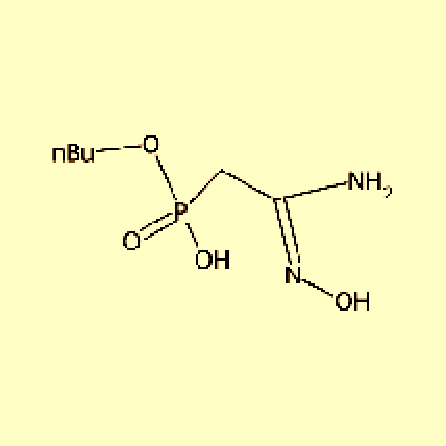 CCCCOP(=O)(O)CC(N)=NO